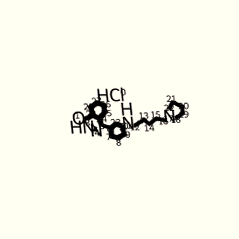 Cl.O=c1[nH]nc(-c2cccc(NCCCCCN3CCCCC3)c2)c2ccccc12